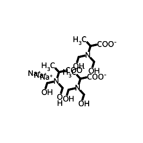 CC(C(=O)[O-])N(CO)CO.CC(C(=O)[O-])N(CO)CO.CC(C(=O)[O-])N(CO)CO.[Na+].[Na+].[Na+]